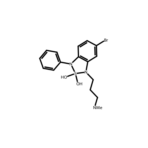 CNCCCN1c2cc(Br)ccc2N(c2ccccc2)S1(O)O